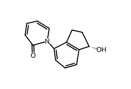 O=c1ccccn1-c1cccc2c1CC[C@@H]2O